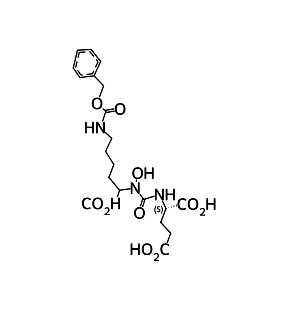 O=C(O)CC[C@H](NC(=O)N(O)C(CCCCNC(=O)OCc1ccccc1)C(=O)O)C(=O)O